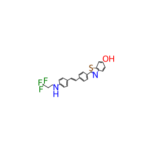 Oc1ccc2nc(-c3ccc(C=Cc4ccc(NCCC(F)(F)F)cc4)cc3)sc2c1